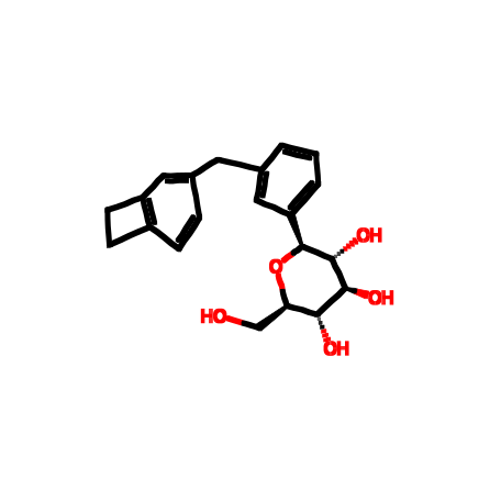 OC[C@H]1O[C@@H](c2cccc(Cc3ccc4c(c3)CC4)c2)[C@H](O)[C@@H](O)[C@@H]1O